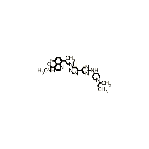 C=C(CC)N1CCC(Nc2ncc(-c3cc(NC[C@@H](C)c4ccc(F)c5c(C(=O)NC)ccnc45)ncn3)cn2)CC1